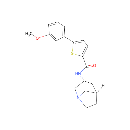 COc1cccc(-c2ccc(C(=O)N[C@@H]3C[C@H]4CCN(C4)C3)s2)c1